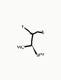 CC(C)[C@@H](O)C(F)F